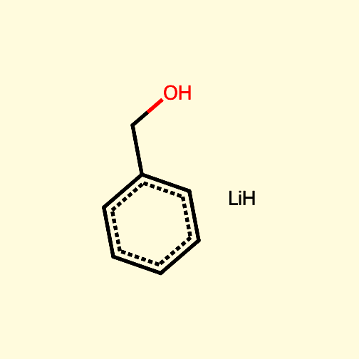 OCc1ccccc1.[LiH]